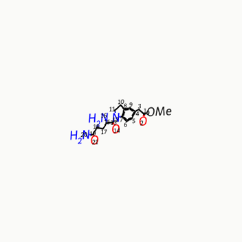 COC(=O)Cc1ccc2c(c1)CCN2C(=O)[C@@H](N)CCC(N)=O